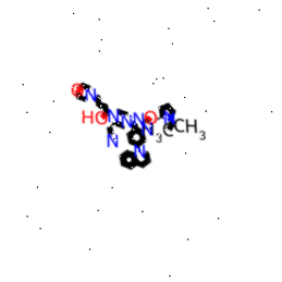 CC(C)N1CCC[C@H]1COc1nc2c(c(N3CCN(C(O)/C=C/CN4CCOCC4)[C@@H](CC#N)C3)n1)CC[C@H](N1CCCc3ccccc31)C2